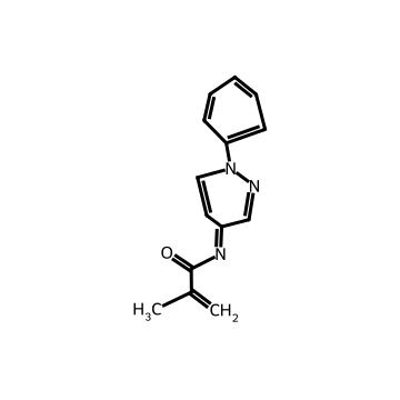 C=C(C)C(=O)N=c1ccn(-c2ccccc2)nc1